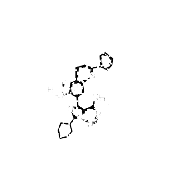 NC(=O)O.Nc1ncnn2c(C3CCCCC3)nc(-c3cc4nc(-c5ccccc5)ccc4cc3Cl)c12